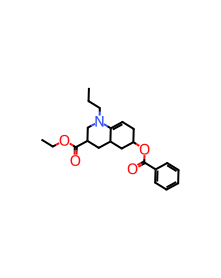 CCCN1CC(C(=O)OCC)CC2CC(OC(=O)c3ccccc3)CC=C21